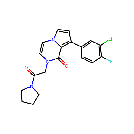 O=C(Cn1ccn2ccc(-c3ccc(F)c(Cl)c3)c2c1=O)N1CCCC1